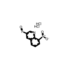 Cl.Cl.O=Pc1cnc2c([N+](=O)[O-])cccc2c1